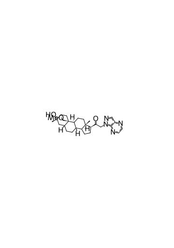 COC[C@]12CC[C@@](C)(O)C[C@H]1CC[C@H]1[C@@H]3CC[C@H](C(=O)Cn4ncc5nccnc54)[C@@]3(C)CC[C@@H]12